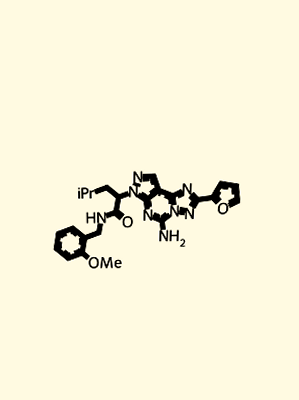 COc1ccccc1CNC(=O)C(CC(C)C)n1ncc2c1nc(N)n1nc(-c3ccco3)nc21